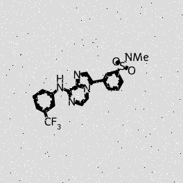 CNS(=O)(=O)c1cccc(-c2cnc3c(Nc4cccc(C(F)(F)F)c4)nccn23)c1